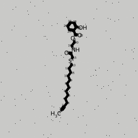 CC#CCCCCCCCCCCCSCC(=O)NCCOC(=O)c1ccccc1O